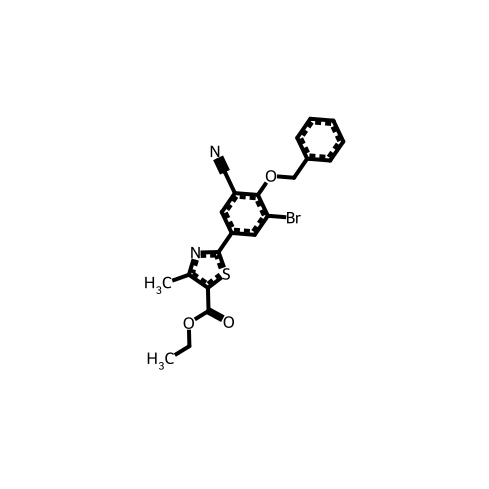 CCOC(=O)c1sc(-c2cc(Br)c(OCc3ccccc3)c(C#N)c2)nc1C